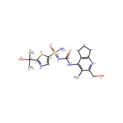 Cc1c(CO)nc2c(c1NC(=O)N=S(N)(=O)c1cnc(C(C)(C)O)s1)CCC2